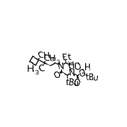 CC[C@@H](C(=O)O)N(CCC(C)(C)C1(C)CCC1)C(=O)[C@@H](NC(=O)OC(C)(C)C)C(C)(C)C